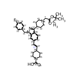 CC(C)(C)OC(=O)CN1CCC(c2nn(Cc3ccc(F)cc3)c3cc(/C=C/C4CCN(C(=O)O)CC4)ccc23)CC1